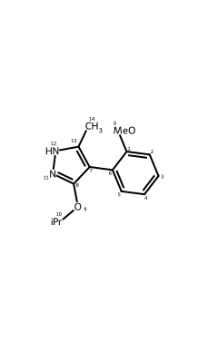 COc1ccccc1-c1c(OC(C)C)n[nH]c1C